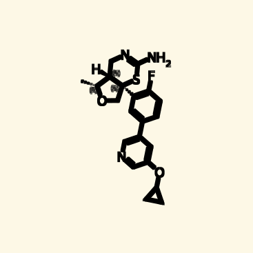 C[C@H]1OC[C@]2(c3cc(-c4cncc(OC5CC5)c4)ccc3F)SC(N)=NC[C@@H]12